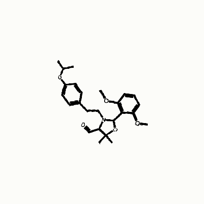 COc1cccc(OC)c1C1OC(C)(C)C(C=O)N1CCc1ccc(OC(C)C)cc1